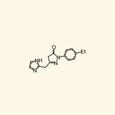 CCc1ccc(N2N=C(Cc3ncc[nH]3)CC2=O)cc1